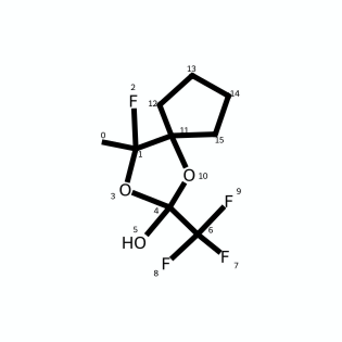 CC1(F)OC(O)(C(F)(F)F)OC12CCCC2